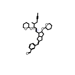 CC#CCC(C)[C@@H](/C=C/C1C(OC2CCCCO2)CC2CC(=Cc3cccc(C=O)c3)CC21)OC1CCCCO1